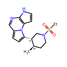 CCS(=O)(=O)N1CC[C@@H](C)[C@H](c2ccc3cnc4[nH]ccc4n23)C1